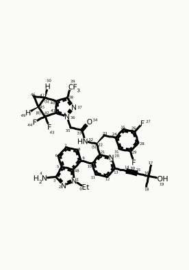 CCn1nc(N)c2cccc(-c3ccc(C#CC(C)(C)O)nc3[C@H](Cc3cc(F)cc(F)c3)NC(=O)Cn3nc(C(F)(F)F)c4c3C(F)(F)[C@@H]3C[C@H]43)c21